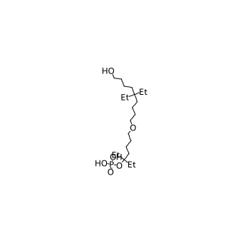 CCC(CC)(CCCCO)CCCCOCCCCC(CC)(CC)OP(=O)(O)O